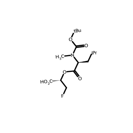 CC(C)C[C@@H](C(=O)O[C@H](CF)C(=O)O)N(C)C(=O)OC(C)(C)C